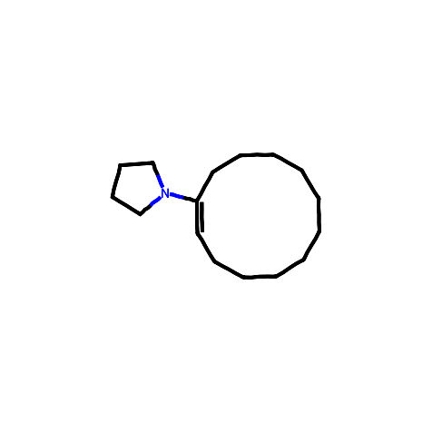 C1=C(/N2CCCC2)CCCCCCCCCC/1